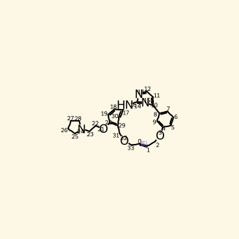 C1=C/COc2cccc(c2)-c2ccnc(n2)Nc2ccc(OCCN3CCCC3)c(c2)COC/1